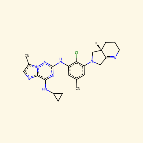 N#Cc1cc(Nc2nc(NC3CC3)c3ncc(C#N)n3n2)c(Cl)c(N2CC3=NCCC[C@H]3C2)c1